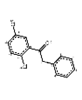 O=C(Cc1ccccc1)c1cc(Cl)ccc1Cl